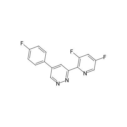 Fc1ccc(-c2cnnc(-c3ncc(F)cc3F)c2)cc1